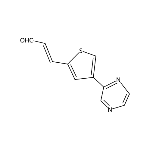 O=C/C=C/c1cc(-c2cnccn2)cs1